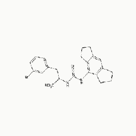 O=C(Nc1c2c(cc3c1CCC3)CCC2)NC(Cc1cccc(Br)c1)C(=O)O